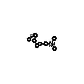 O=P(c1ccccc1)(c1ccccc1)c1ccc(-c2cccc3cc(-c4ccc(-c5nc(-c6ccccc6)nc(-c6ccccc6)n5)cc4)ccc23)cc1